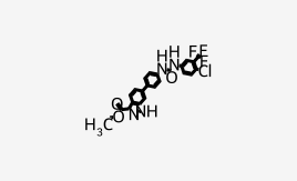 CCOC(=O)c1n[nH]c2cc(-c3ccc(NC(=O)Nc4ccc(Cl)c(C(F)(F)F)c4)cc3)ccc12